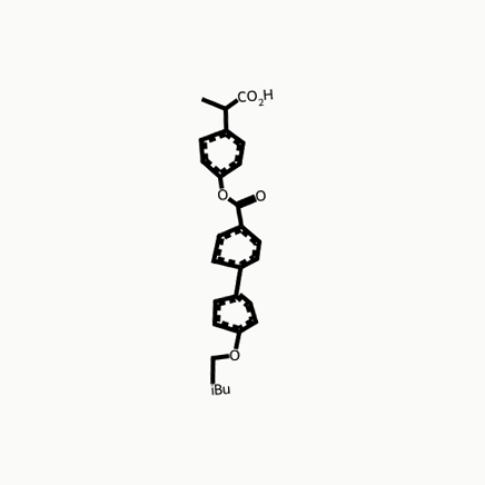 CCC(C)COc1ccc(-c2ccc(C(=O)Oc3ccc(C(C)C(=O)O)cc3)cc2)cc1